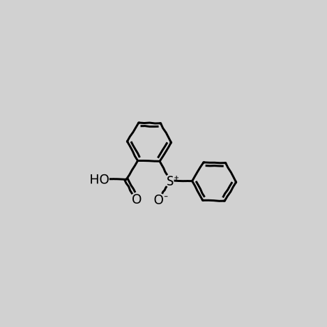 O=C(O)c1ccccc1[S+]([O-])c1ccccc1